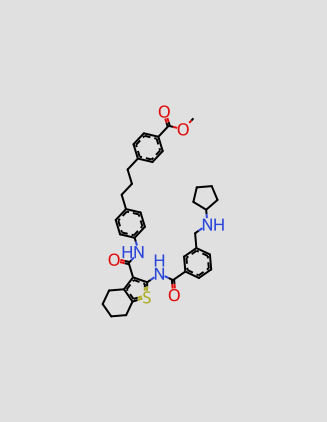 COC(=O)c1ccc(CCCc2ccc(NC(=O)c3c(NC(=O)c4cccc(CNC5CCCC5)c4)sc4c3CCCC4)cc2)cc1